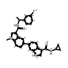 CC(NC(=O)c1cn(C)c2ccc(-c3ccc4c(C(=O)NC5CC5)c[nH]c4c3)cc12)c1cccc(F)c1